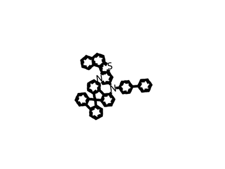 c1ccc(-c2ccc(N(c3cnc4c(c3)sc3ccc5ccccc5c34)c3cccc4c3-c3ccccc3C43c4ccccc4-c4ccccc43)cc2)cc1